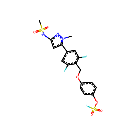 Cn1nc(NS(C)(=O)=O)cc1-c1cc(F)c(COc2ccc(OS(=O)(=O)F)cc2)c(F)c1